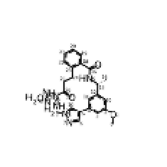 COc1cc(-c2cnn(C)c2)cc([C@@H](C)NC(=O)c2ccccc2CCC(=O)NN)c1.NN.O